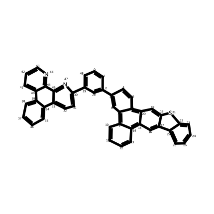 c1cc(-c2ccc3c(c2)c2ccccc2c2cc4c(cc32)sc2ccccc24)cc(-c2ccc3c4ccccc4c4cccnc4c3n2)c1